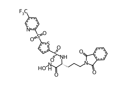 O=C(NO)[C@@H](CCCN1C(=O)c2ccccc2C1=O)NS(=O)(=O)c1ccc(S(=O)(=O)c2ccc(C(F)(F)F)cn2)s1